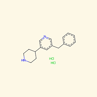 Cl.Cl.c1ccc(Cc2cncc(C3CCNCC3)c2)cc1